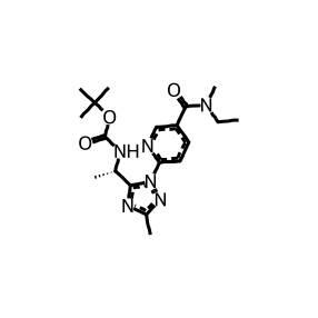 CCN(C)C(=O)c1ccc(-n2nc(C)nc2[C@H](C)NC(=O)OC(C)(C)C)nc1